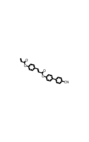 C=CC(=O)Oc1ccc(/C=C/C(=O)Oc2ccc(-c3ccc(C#N)cc3)cc2)cc1